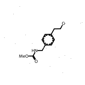 COC(=O)NCc1ccc(CC[O])cc1